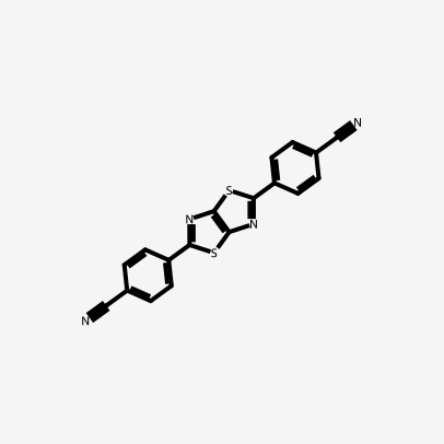 N#Cc1ccc(-c2nc3sc(-c4ccc(C#N)cc4)nc3s2)cc1